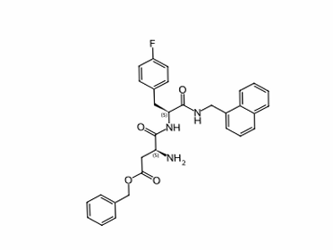 N[C@@H](CC(=O)OCc1ccccc1)C(=O)N[C@@H](Cc1ccc(F)cc1)C(=O)NCc1cccc2ccccc12